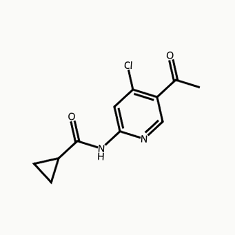 CC(=O)c1cnc(NC(=O)C2CC2)cc1Cl